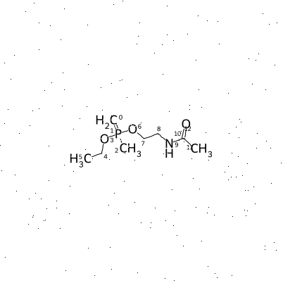 C=P(C)(OCC)OCCNC(C)=O